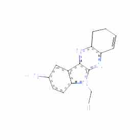 CC(C)Cn1c2ccc(N)cc2c2nc3c(nc21)C=CCC3